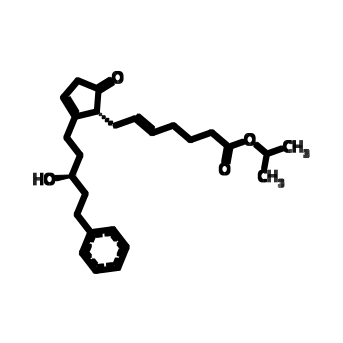 CC(C)OC(=O)CCCC=CC[C@H]1C(=O)CC=C1CC[C@H](O)CCc1ccccc1